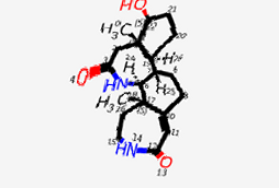 C[C@]12CC(=O)N[C@H]3[C@@H](CCC4=CC(=O)NCC[C@@]43C)[C@@H]1CC[C@@H]2O